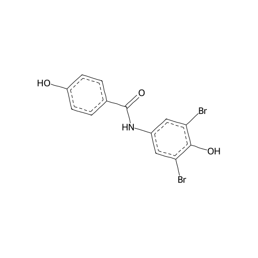 O=C(Nc1cc(Br)c(O)c(Br)c1)c1ccc(O)cc1